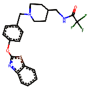 O=C(NCC1CCN(Cc2ccc(Oc3nc4ccccc4s3)cc2)CC1)C(F)(F)F